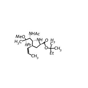 C/C=C\[C@@H]1C[C@H](C(=O)OC(C)(C)CC)N[C@H]1[C@@H](NC(C)=O)[C@](C)(CCC)OC